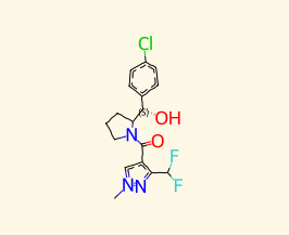 Cn1cc(C(=O)N2CCCC2[C@@H](O)c2ccc(Cl)cc2)c(C(F)F)n1